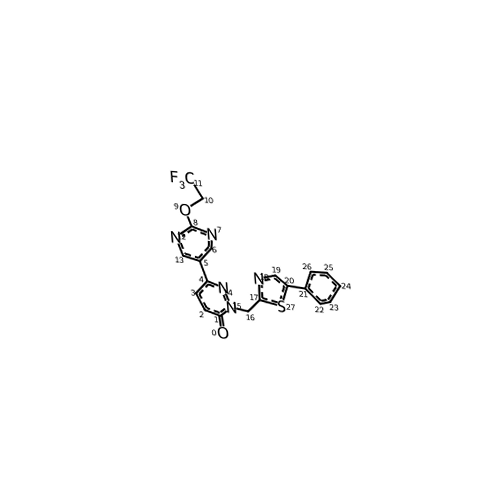 O=c1ccc(-c2cnc(OCC(F)(F)F)nc2)nn1Cc1ncc(-c2ccccc2)s1